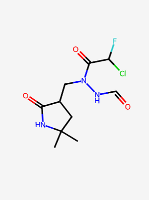 CC1(C)CC(CN(NC=O)C(=O)C(F)Cl)C(=O)N1